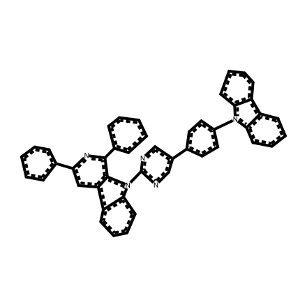 c1ccc(-c2cc3c4ccccc4n(-c4ncc(-c5ccc(-n6c7ccccc7c7ccccc76)cc5)cn4)c3c(-c3ccccc3)n2)cc1